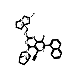 C#Cc1nc(-c2cccc3ccccc23)c(F)c2nc(OC[C@@]34CCCN3C[C@H](F)C4)nc(N3CC4CCC(C3)N4)c12